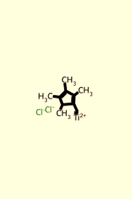 CC1=C(C)C(C)C([CH]=[Ti+2])=C1C.[Cl-].[Cl-]